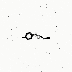 C#CCCOSc1ccc(C)cc1